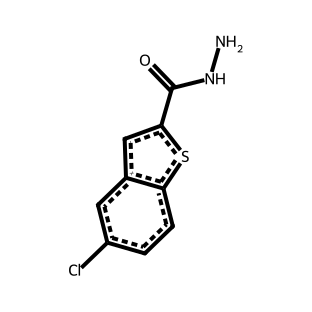 NNC(=O)c1cc2cc(Cl)ccc2s1